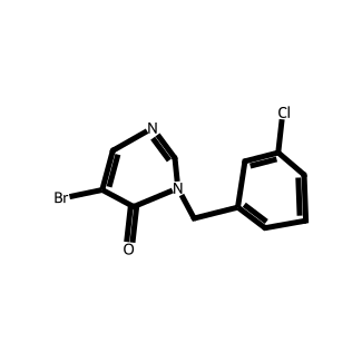 O=c1c(Br)cncn1Cc1cccc(Cl)c1